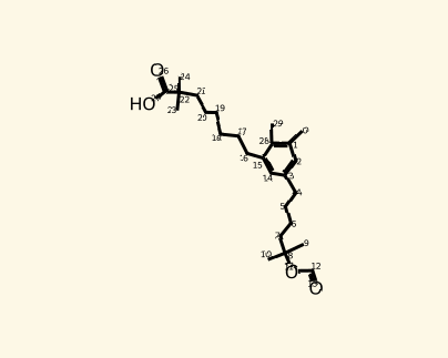 Cc1cc(CCCCC(C)(C)OC=O)cc(CCCCCCC(C)(C)C(=O)O)c1C